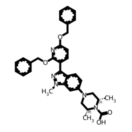 C[C@@H]1CN(c2ccc3c(-c4ccc(OCc5ccccc5)nc4OCc4ccccc4)nn(C)c3c2)C[C@H](C)N1C(=O)O